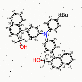 CC(C)(C)c1ccc(N(c2ccc(-c3c(C(C)(C)O)ccc4ccccc34)cc2)c2ccc(-c3c(C(C)(C)O)ccc4ccccc34)cc2)cc1